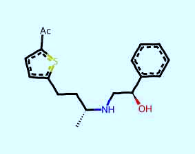 CC(=O)c1ccc(CC[C@@H](C)NC[C@H](O)c2ccccc2)s1